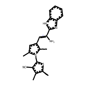 Cc1sc(-n2c(C)cc(/C=C(\N)c3nc4ccccc4[nH]3)c2C)c(C#N)c1C